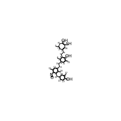 CC1=CC(CCc2c(C)c(CCc3cc(C)c(N=O)c(Cc4ccc(O)c(C)c4)c3C)cc(C)c2O)=CC(S)=C(O)C1